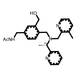 CC(=O)NCc1ccc(CN(Cc2ncccc2C)[C@@H](C)c2ccccn2)c(CO)c1